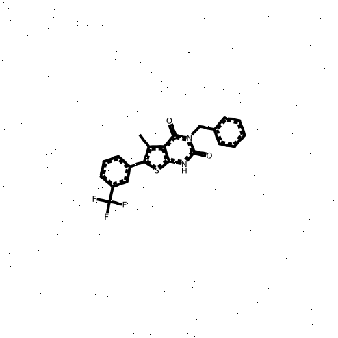 Cc1c(-c2cccc(C(F)(F)F)c2)sc2[nH]c(=O)n(Cc3ccccc3)c(=O)c12